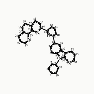 c1ccc(-n2c3ccc(-c4cccc(-c5ccc6ccc7cccnc7c6n5)n4)cc3c3cccnc32)cc1